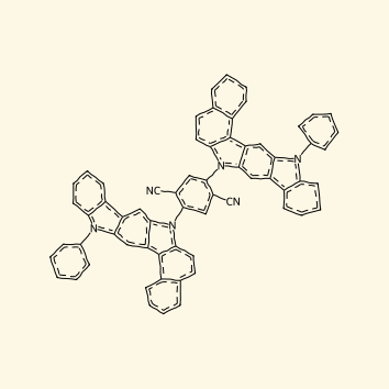 N#Cc1cc(-n2c3cc4c5ccccc5n(-c5ccccc5)c4cc3c3c4ccccc4ccc32)c(C#N)cc1-n1c2cc3c4ccccc4n(-c4ccccc4)c3cc2c2c3ccccc3ccc21